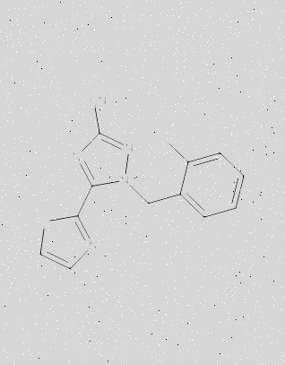 N#Cc1nc(-c2nccs2)n(Cc2ccccc2F)n1